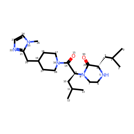 CC(C)C[C@@H]1NCCN([C@@H](CC(C)C)C(=O)N2CCC(Cc3nccn3C)CC2)C1=O